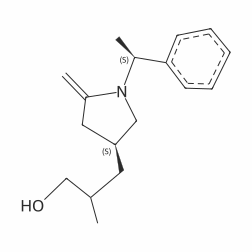 C=C1C[C@H](CC(C)CO)CN1[C@@H](C)c1ccccc1